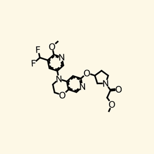 COCC(=O)N1CCC(Oc2cc3c(cn2)OCCN3c2cnc(OC)c(C(F)F)c2)C1